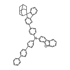 c1ccc(-c2ccc(-c3ccc(N(c4ccc(-c5ccc6c(c5)-c5ccccc5C65C6CC7CC(C6)CC5C7)cc4)c4ccc5c(c4)oc4ccccc45)cc3)cc2)cc1